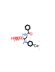 CN(C(=O)CNC(=O)c1ccccc1)c1cc[c]([Ge])cc1.O.O.O